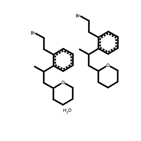 CC(CC1CCCCO1)c1ccccc1CCBr.CC(CC1CCCCO1)c1ccccc1CCBr.O